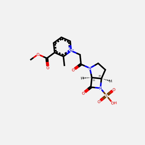 COC(=O)c1ccc[n+](CC(=O)N2CC[C@@H]3[C@H]2C(=O)N3S(=O)(=O)O)c1C